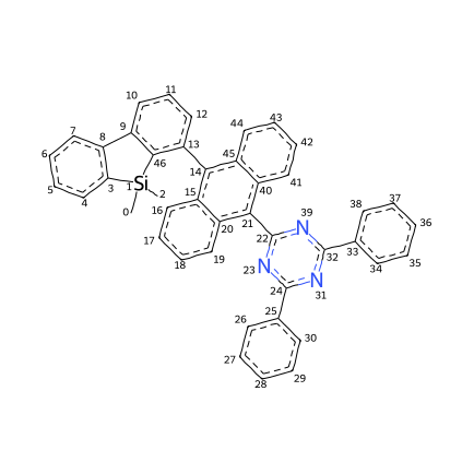 C[Si]1(C)c2ccccc2-c2cccc(-c3c4ccccc4c(-c4nc(-c5ccccc5)nc(-c5ccccc5)n4)c4ccccc34)c21